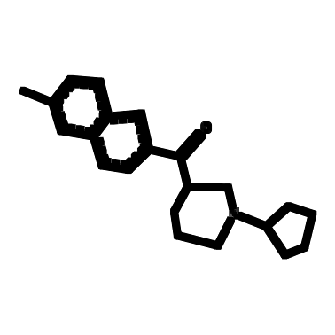 Cc1ccc2cc(C(=O)C3CCCN(C4CCCC4)C3)ccc2c1